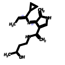 C=C(NCCC(C)O)C1=CNC(=C)/C1=N\C(=C/C)C1CC1